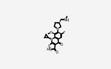 CNC[C@@H]1CCN(c2c(F)cc3c(=O)c4c(=O)[nH]sc4n(C4CC4)c3c2OC)C1